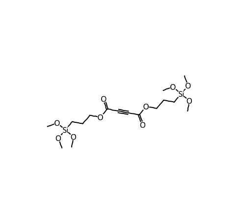 CO[Si](CCCOC(=O)C#CC(=O)OCCC[Si](OC)(OC)OC)(OC)OC